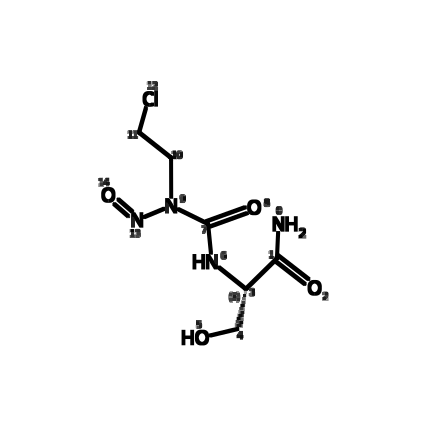 NC(=O)[C@H](CO)NC(=O)N(CCCl)N=O